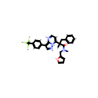 CN(Cc1ccco1)C(=O)C(C)(Cc1ccccc1)c1ccnc2c(-c3ccc(C(F)(F)F)cc3)cnn12